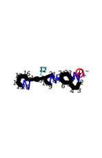 [O-][n+]1cccc2cc(N3CCC(F)(C#Cc4ccccn4)C3)ccc21